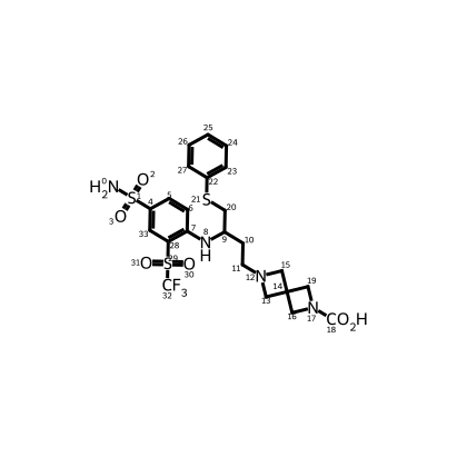 NS(=O)(=O)c1ccc(NC(CCN2CC3(C2)CN(C(=O)O)C3)CSc2ccccc2)c(S(=O)(=O)C(F)(F)F)c1